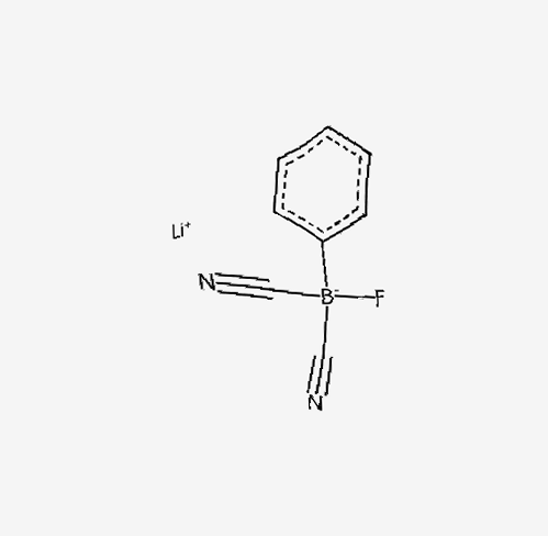 N#C[B-](F)(C#N)c1ccccc1.[Li+]